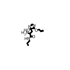 C=CCOC1=NC=NC1(O)CC(N)C(=O)NCCC